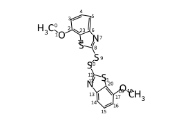 COc1cccc2nc(SSc3nc4cccc(OC)c4s3)sc12